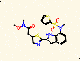 CON(C)C(=O)CC1CN=C(C2Cc3cccc(N(C)S(=O)(=O)c4cccs4)c3N2)S1